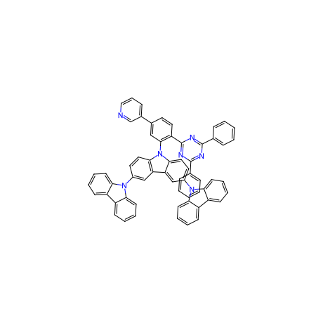 c1ccc(-c2nc(-c3ccccc3)nc(-c3ccc(-c4cccnc4)cc3-n3c4ccc(-n5c6ccccc6c6ccccc65)cc4c4cc(-n5c6ccccc6c6ccccc65)ccc43)n2)cc1